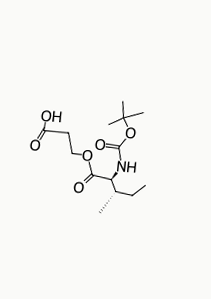 CC[C@H](C)[C@H](NC(=O)OC(C)(C)C)C(=O)OCCC(=O)O